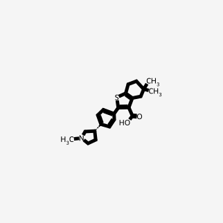 CN1CC[C@@H](c2ccc(-c3sc4c(c3C(=O)O)CC(C)(C)CC4)cc2)C1